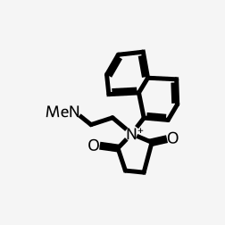 CNCC[N+]1(c2cccc3ccccc23)C(=O)CCC1=O